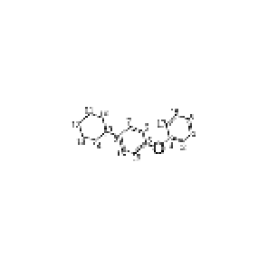 c1ccc(Oc2ccc([C]3CCCCC3)cc2)cc1